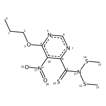 CCCOc1ncnc(C(=S)N(SC)SC)c1[N+](=O)[O-]